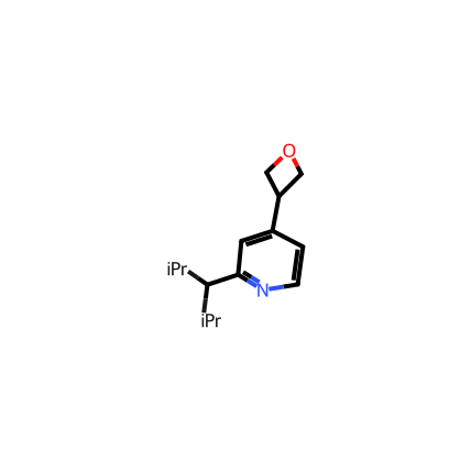 CC(C)C(c1cc(C2COC2)ccn1)C(C)C